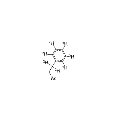 [2H]c1c([2H])c([2H])c(C([2H])([2H])CC(C)=O)c([2H])c1[2H]